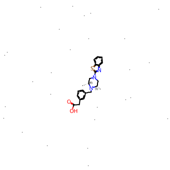 C[C@@H]1CN(c2nc3ccccc3s2)C[C@H](C)N1Cc1cccc(CC(=O)O)c1